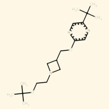 CC(C)(C)OCCN1CC(COc2cnc(C(C)(C)C)cn2)C1